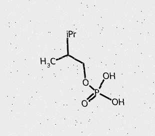 CC(C)C(C)COP(=O)(O)O